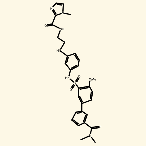 COc1ccc(-c2cccc(C(=O)N(C)C)c2)cc1S(=O)(=O)Nc1cccc(NCCNC(=O)c2nccn2C)c1